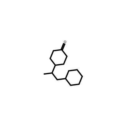 CC(CC1CCCCC1)C1CCC(=O)CC1